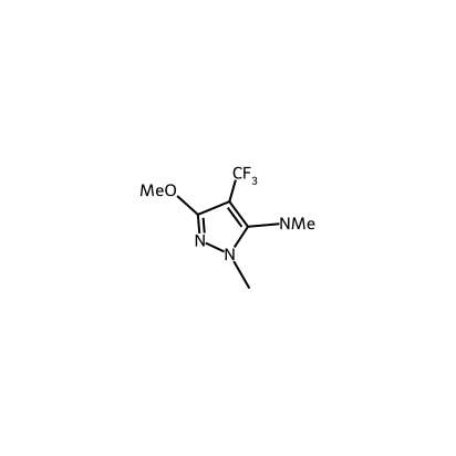 CNc1c(C(F)(F)F)c(OC)nn1C